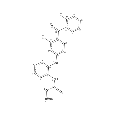 CCCCCCOC(=O)Nc1ccccc1Nc1ccc(C(=O)c2ccccc2C)c(Cl)c1